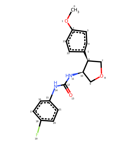 COc1ccc([C@H]2COC[C@H]2NC(=O)Nc2ccc(F)cc2)cc1